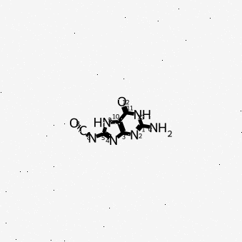 Nc1nc2nc(N=C=O)[nH]c2c(=O)[nH]1